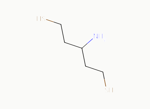 NC(CCS)CCS